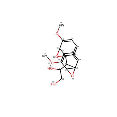 CCCOC1=CC=CC2(C(C(O)CO)C34C=CC=C(OCCC)C3O4)OC12